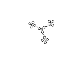 C(=C\c1ccc([Si](c2ccccc2)(c2ccccc2)c2ccccc2)cc1)/c1ccc(N(c2ccc(/C=C/c3ccc([Si](c4ccccc4)(c4ccccc4)c4ccccc4)cc3)cc2)c2ccc(/C=C/c3ccc([Si](c4ccccc4)(c4ccccc4)c4ccccc4)cc3)cc2)cc1